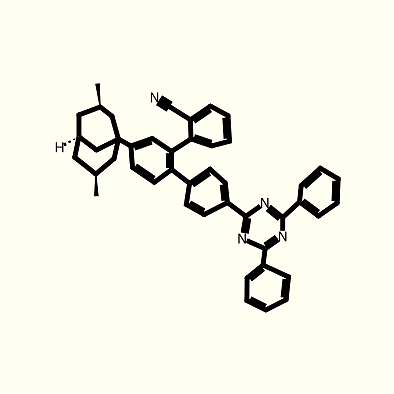 C[C@@H]1C[C@@H]2C[C@H](C)CC(c3ccc(-c4ccc(-c5nc(-c6ccccc6)nc(-c6ccccc6)n5)cc4)c(-c4ccccc4C#N)c3)(C1)C2